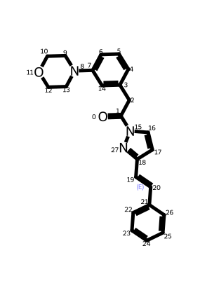 O=C(Cc1cccc(N2CCOCC2)c1)n1ccc(/C=C/c2ccccc2)n1